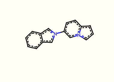 c1ccc2cn(-c3ccc4cccn4c3)cc2c1